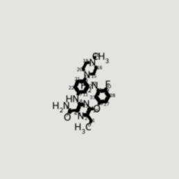 CCc1nc(C(N)=O)c(Nc2ccc(N3CCN(C)CC3)cc2)nc1Oc1ccc(F)c(N)c1